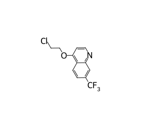 FC(F)(F)c1ccc2c(OCCCl)ccnc2c1